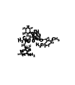 Cc1cccc(C)c1COCC(C)NP(=O)(CO[C@H](C)Cn1cnc2c(N)ncnc21)Oc1ccccc1